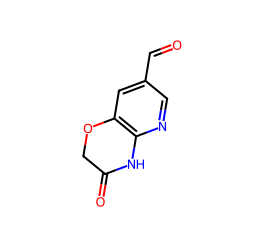 O=Cc1cnc2c(c1)OCC(=O)N2